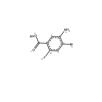 COC(=O)c1cc(N)c(Br)cc1F